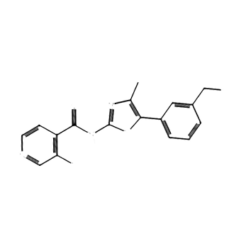 Cc1nc(NC(=O)c2ccncc2F)sc1-c1cccc(CF)c1